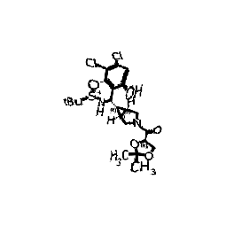 CC1(C)OC[C@H](C(=O)N2C[C@@H]3[C@H](C2)[C@H]3C(N[S+]([O-])C(C)(C)C)c2cc(Cl)c(Cl)cc2O)O1